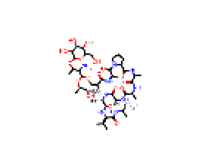 CNC(COC(OC(C)CO)C(N)C(C)OC1OC(CO)C(O)C(O)C1O)C(=O)NC(C(=O)N1CCCC1C(=O)NC(C)C(=O)NC(C)C(=O)NC(C(=O)N[C@H](C(=O)NC(C(=O)NC(C)C(=O)O)=C(C)C)C(C)C)C(C)C)C(C)C